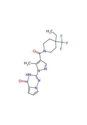 CCC1(C(F)(F)F)CCN(C(=O)c2cnn(-c3nn4cccc4c(=O)[nH]3)c2C)CC1